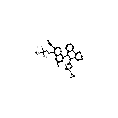 CC(C)(C)CNc1c(C#N)cnc2c(N[C@H](c3cn(C4CC4)nn3)c3ccccc3-c3ccccc3)cc(Cl)cc12